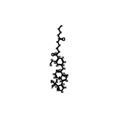 CCCCC(=O)CCCCC(=O)c1ccc(Cc2nccn3c(C4=CCN=C4C(F)(F)F)cnc23)cc1CC